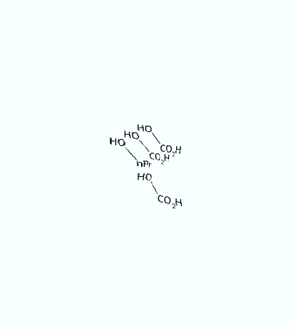 CCCO.O=C(O)O.O=C(O)O.O=C(O)O